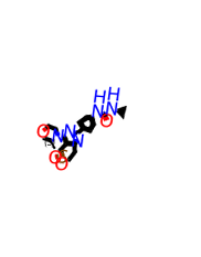 C[C@H]1COCCN1c1nc(-c2ccc(NC(=O)NC3CC3)cc2)nc2c1CS(=O)(=O)CC2